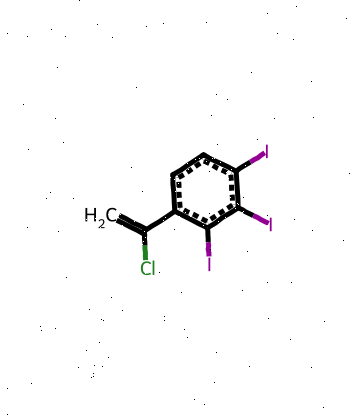 C=C(Cl)c1ccc(I)c(I)c1I